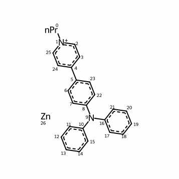 CCC[n+]1ccc(-c2ccc(N(c3ccccc3)c3ccccc3)cc2)cc1.[Zn]